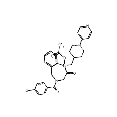 O=C(c1ccc(Cl)cc1)N1CC(=O)[N+](CC2CCN(c3ccncc3)CC2)(OC(=O)C(F)(F)F)c2ccccc2C1